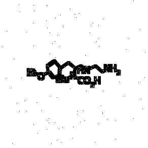 CCOc1ccc(C[C@@H](CNCCN)N(C(=O)O)C(C)(C)C)cc1